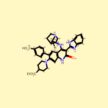 CCOC(=O)C1CCN(c2cc3[nH]c(=O)c(-c4nc5ccccc5[nH]4)c(N[C@H]4CN5CCC4CC5)c3cc2-c2ccc(C(=O)O)cc2)CC1